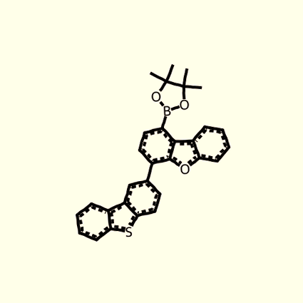 CC1(C)OB(c2ccc(-c3ccc4sc5ccccc5c4c3)c3oc4ccccc4c23)OC1(C)C